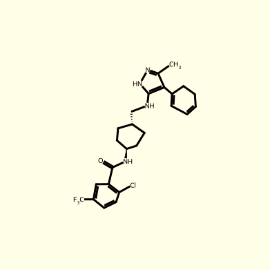 Cc1n[nH]c(NC[C@H]2CC[C@H](NC(=O)c3cc(C(F)(F)F)ccc3Cl)CC2)c1C1=CC=CCC1